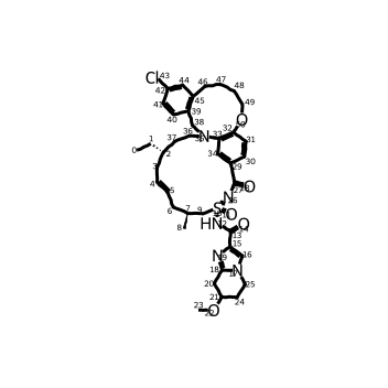 CC[C@H]1C/C=C/C[C@H](C)CS(=O)(NC(=O)c2cn3c(n2)CC(OC)CC3)=NC(=O)c2ccc3c(c2)N(CC1)Cc1ccc(Cl)cc1CCCCO3